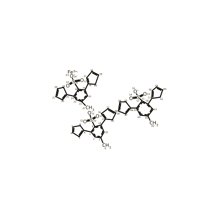 Cc1cc(C2=CC=CC2)c(S(=O)(=O)[O-])c(C2=CC=CC2)c1.Cc1cc(C2=CC=CC2)c(S(=O)(=O)[O-])c(C2=CC=CC2)c1.Cc1cc(C2=CC=CC2)c(S(=O)(=O)[O-])c(C2=CC=CC2)c1.[Fe+3]